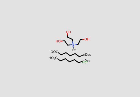 CCCCCCCCCCCCCCCC(=O)O.CCCCCCCCCCCCCCCC(=O)[O-].CC[N+](CCO)(CCO)CCO.Cl